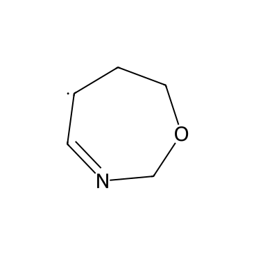 [CH]1C=NCOCC1